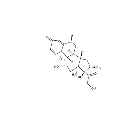 C[C@@H]1C[C@H]2[C@@H]3C[C@H](F)C4=CC(=O)C=C[C@]4(C)C3(F)[C@@H](O)C[C@]2(C)[C@@]1(O)C(=O)CO